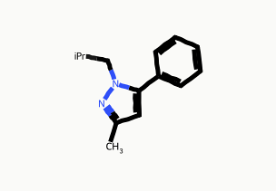 Cc1cc(-c2ccccc2)n(CC(C)C)n1